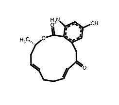 C[C@H]1C/C=C/CC/C=C/C(=O)Cc2cc(O)cc(N)c2C(=O)O1